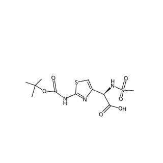 CC(C)(C)OC(=O)Nc1nc([C@@H](NS(C)(=O)=O)C(=O)O)cs1